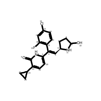 O=c1[nH]c(/C(=C/[C@H]2CCC(O)N2)c2ccc(Cl)cc2F)ccc1C1CC1